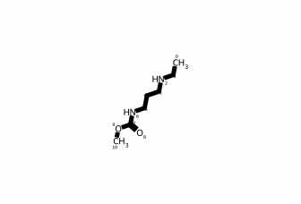 CCNCCCNC(=O)OC